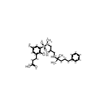 CN(CC(O)CNC(C)(C)CCCc1ccccc1)S(=O)(=O)c1cc(F)cc(CCC(=O)O)c1Cl